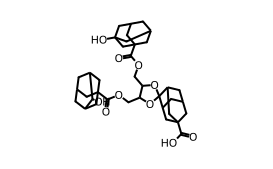 O=C(O)C12CC3CC(C1)C1(OC(COC(=O)C45CC6CC(C4)C(O)C(C6)C5)C(COC(=O)C45CC6CC(CC(O)(C6)C4)C5)O1)C(C3)C2